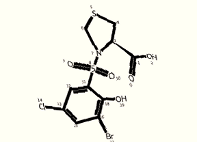 O=C(O)[C@@H]1CSCN1S(=O)(=O)c1cc(Cl)cc(Br)c1O